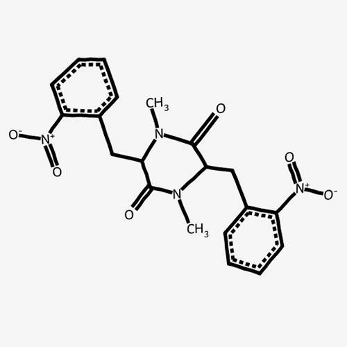 CN1C(=O)C(Cc2ccccc2[N+](=O)[O-])N(C)C(=O)C1Cc1ccccc1[N+](=O)[O-]